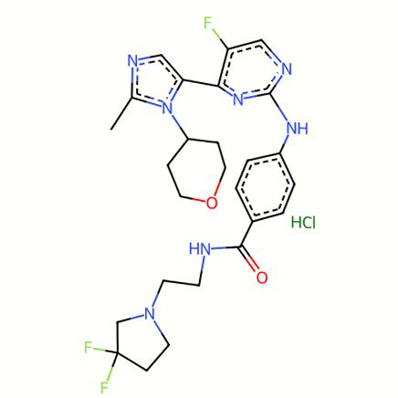 Cc1ncc(-c2nc(Nc3ccc(C(=O)NCCN4CCC(F)(F)C4)cc3)ncc2F)n1C1CCOCC1.Cl